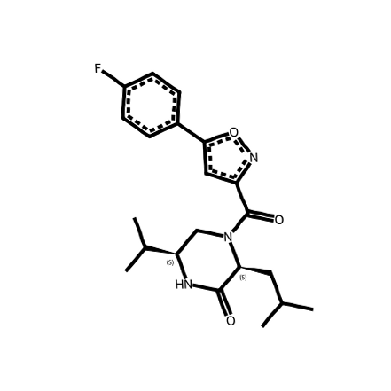 CC(C)C[C@H]1C(=O)N[C@@H](C(C)C)CN1C(=O)c1cc(-c2ccc(F)cc2)on1